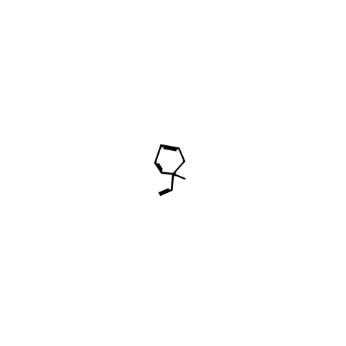 [CH2]C1(C=C)C=CC=CC1